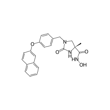 C[C@]1(C(=O)NO)CN(Cc2ccc(Oc3ccc4ccccc4c3)cc2)C(=O)N1